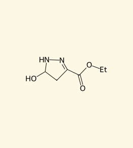 CCOC(=O)C1=NNC(O)C1